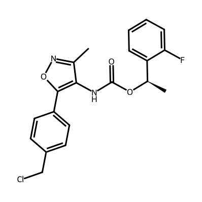 Cc1noc(-c2ccc(CCl)cc2)c1NC(=O)O[C@H](C)c1ccccc1F